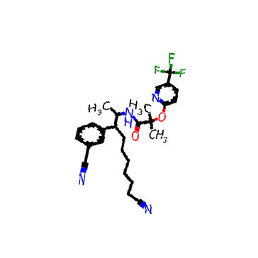 CC(NC(=O)C(C)(C)Oc1ccc(C(F)(F)F)cn1)C(CCCCCCC#N)c1cccc(C#N)c1